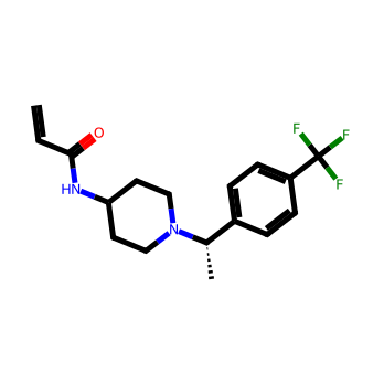 C=CC(=O)NC1CCN([C@@H](C)c2ccc(C(F)(F)F)cc2)CC1